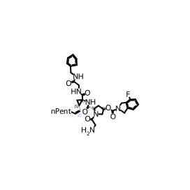 CCCCC/C=C\[C@@H]1C[C@]1(NC(=O)[C@@H]1C[C@@H](OC(=O)N2Cc3cccc(F)c3C2)CN1C(=O)CN)C(=O)NCC(=O)NCc1ccccc1